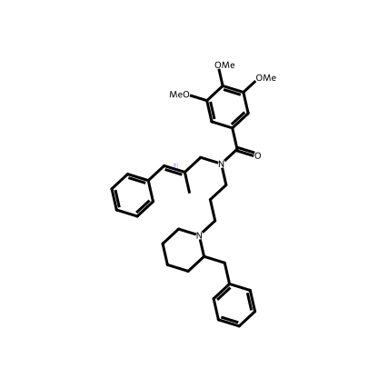 COc1cc(C(=O)N(CCCN2CCCCC2Cc2ccccc2)C/C(C)=C/c2ccccc2)cc(OC)c1OC